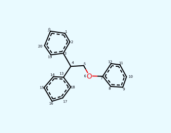 [c]1ccc(C(COc2ccccc2)c2ccccc2)cc1